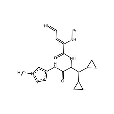 CC(C)N/C(=C\C=N)C(=O)NC(C(=O)Nc1cnn(C)c1)C(C1CC1)C1CC1